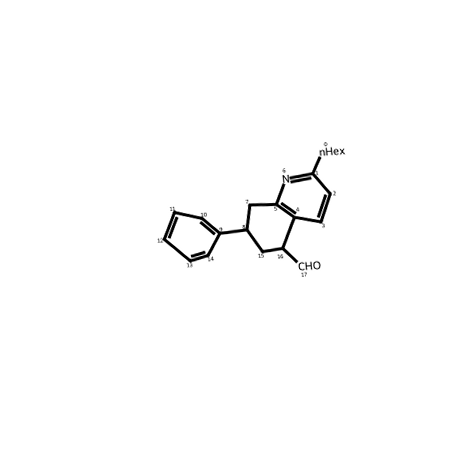 CCCCCCc1ccc2c(n1)CC(c1ccccc1)CC2C=O